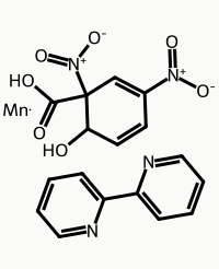 O=C(O)C1([N+](=O)[O-])C=C([N+](=O)[O-])C=CC1O.[Mn].c1ccc(-c2ccccn2)nc1